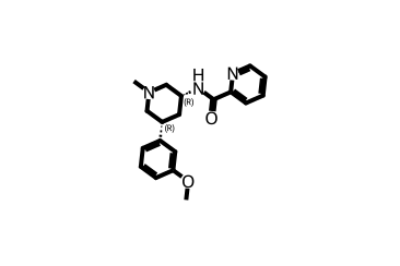 COc1cccc([C@H]2C[C@@H](NC(=O)c3ccccn3)CN(C)C2)c1